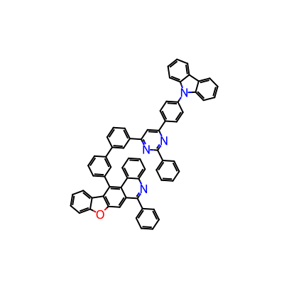 c1ccc(-c2nc(-c3ccc(-n4c5ccccc5c5ccccc54)cc3)cc(-c3cccc(-c4cccc(-c5c6c(cc7c(-c8ccccc8)nc8ccccc8c57)oc5ccccc56)c4)c3)n2)cc1